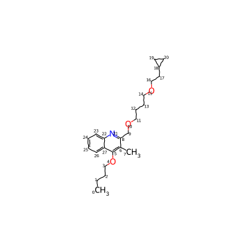 CCCCOc1c(C)c(COCCCCOCCC2CC2)nc2ccccc12